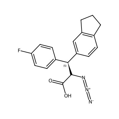 [N-]=[N+]=NC(C(=O)O)[C@@H](c1ccc(F)cc1)c1ccc2c(c1)CCC2